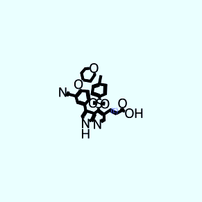 Cc1ccc(S(=O)(=O)c2c(/C=C/C(=O)O)cnc3[nH]cc(-c4ccc(OC5CCOCC5)c(C#N)c4)c23)cc1